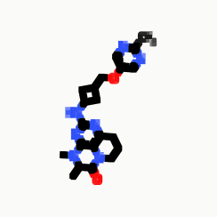 CC1C(=O)N2CCCc3nc(NC4CC(COc5cnc(C(F)(F)F)nc5)C4)nc(c32)N1C